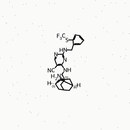 N#Cc1cnc(NCc2ccccc2SC(F)(F)F)nc1NC[C@]12CC3C[C@H](C1)[C@@H](N)[C@@H](C3)C2